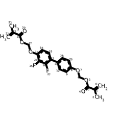 C=C(C)C(=O)OCOc1ccc(-c2ccc(OCOC(=O)C(=C)C)c(F)c2F)cc1